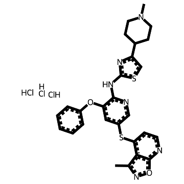 Cc1noc2nccc(Sc3cnc(Nc4nc(C5CCN(C)CC5)cs4)c(Oc4ccccc4)c3)c12.Cl.Cl.Cl